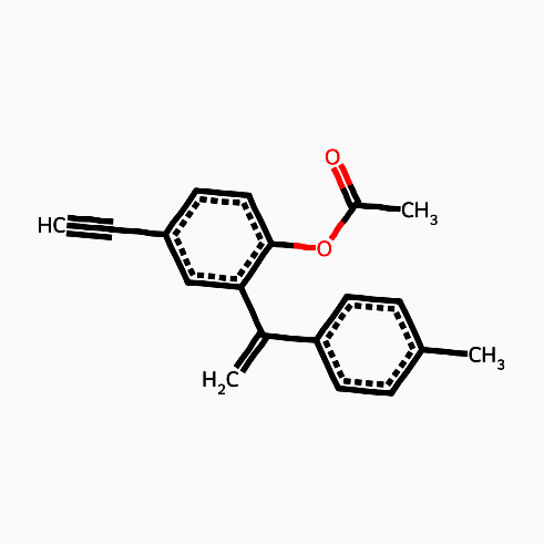 C#Cc1ccc(OC(C)=O)c(C(=C)c2ccc(C)cc2)c1